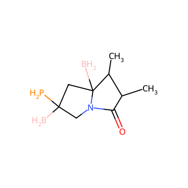 BC1(P)CN2C(=O)C(C)C(C)C2(B)C1